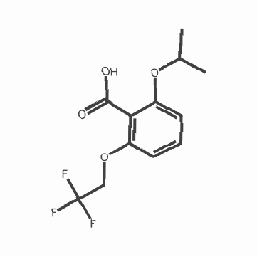 CC(C)Oc1cccc(OCC(F)(F)F)c1C(=O)O